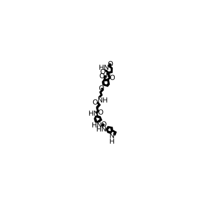 O=C(/C=C/C(=O)Nc1ccc(NC(=O)Nc2ccc3cc[nH]c3c2)cc1)NCCCCOc1ccc2c(c1)C(=O)N(C1CCC(=O)NC1=O)C2=O